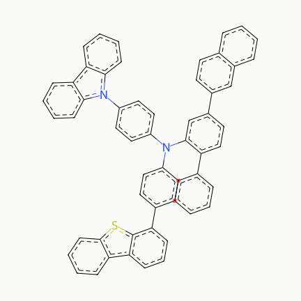 c1ccc(-c2ccc(-c3ccc4ccccc4c3)cc2N(c2ccc(-c3cccc4c3sc3ccccc34)cc2)c2ccc(-n3c4ccccc4c4ccccc43)cc2)cc1